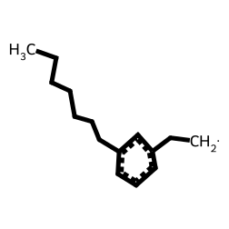 [CH2]Cc1cccc(CCCCCCC)c1